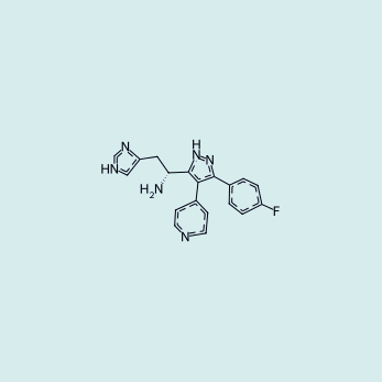 N[C@H](Cc1c[nH]cn1)c1[nH]nc(-c2ccc(F)cc2)c1-c1ccncc1